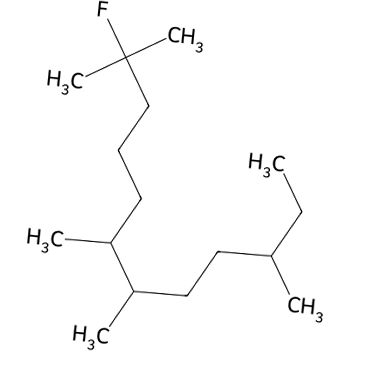 CCC(C)CCC(C)C(C)CCCC(C)(C)F